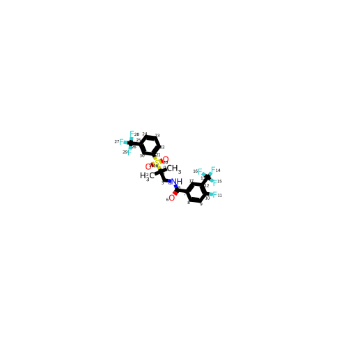 CC(C)(CNC(=O)c1ccc(F)c(C(F)(F)F)c1)S(=O)(=O)c1cccc(C(F)(F)F)c1